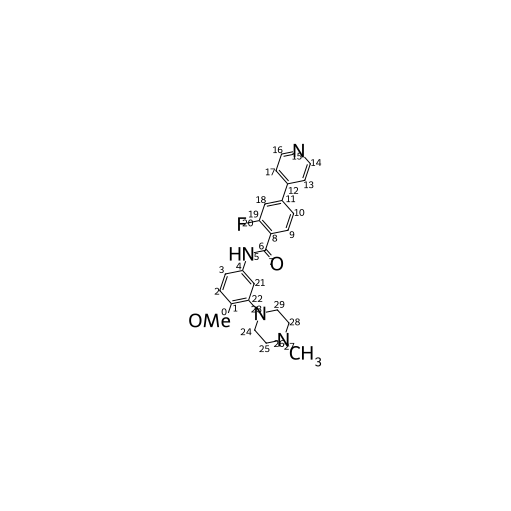 COc1ccc(NC(=O)c2ccc(-c3ccncc3)cc2F)cc1N1CCN(C)CC1